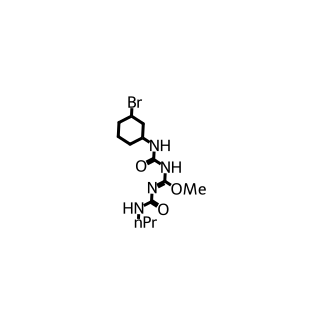 CCCNC(=O)N=C(NC(=O)NC1CCCC(Br)C1)OC